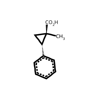 C[C@@]1(C(=O)O)C[C@H]1c1ccccc1